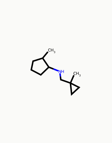 CC1CCCC1NCC1(C)CC1